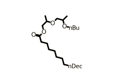 CCCCCCCCCCCCCCCCCC(=O)OCC(C)OCC(C)OCCCC